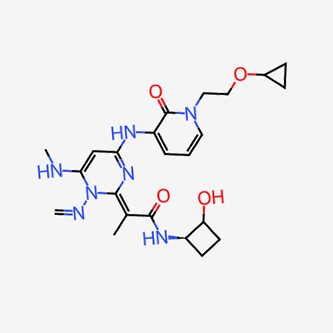 C=NN1C(NC)=CC(Nc2cccn(CCOC3CC3)c2=O)=N/C1=C(/C)C(=O)N[C@@H]1CCC1O